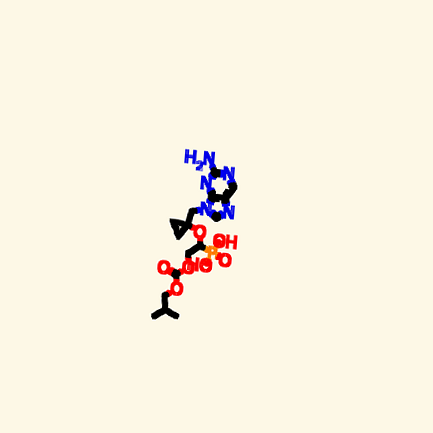 CC(C)COC(=O)OCC(OC1(Cn2cnc3cnc(N)nc32)CC1)P(=O)(O)O